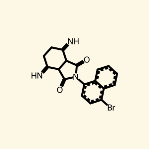 N=C1CCC(=N)C2C(=O)N(c3ccc(Br)c4ccccc34)C(=O)C12